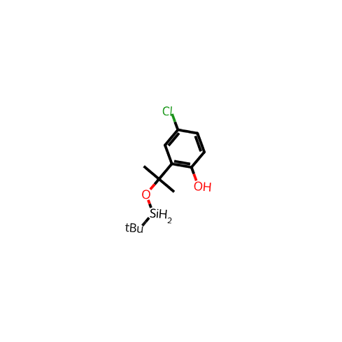 CC(C)(C)[SiH2]OC(C)(C)c1cc(Cl)ccc1O